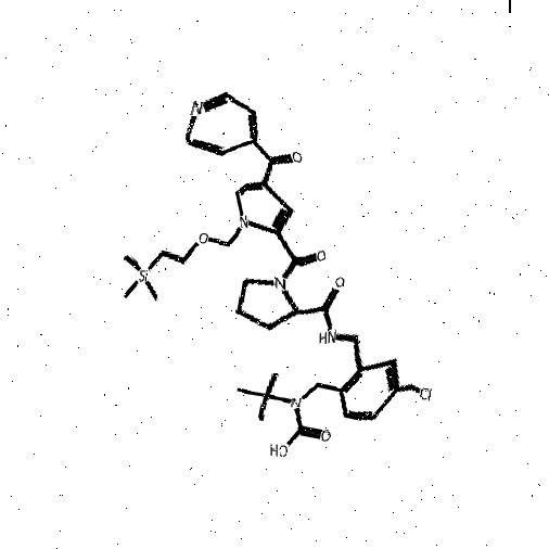 CC(C)(C)N(Cc1ccc(Cl)cc1CNC(=O)C1CCCN1C(=O)c1cc(C(=O)c2ccncc2)cn1COCC[Si](C)(C)C)C(=O)O